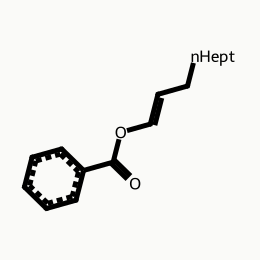 CCCCCCCCC=COC(=O)c1ccccc1